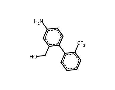 Nc1ccc(-c2ccccc2C(F)(F)F)c(CO)c1